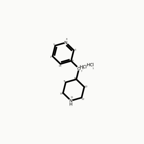 Cl.Cl.c1cncc(OC2CCNCC2)c1